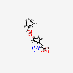 NC(Cc1ccc(OOCc2ccccc2)cc1)C(=O)O